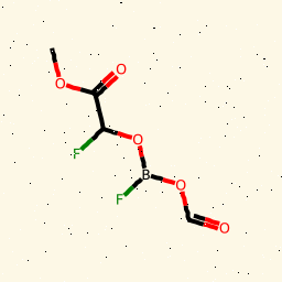 COC(=O)C(F)OB(F)OC=O